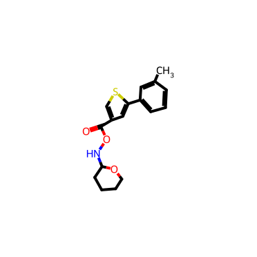 Cc1cccc(-c2cc(C(=O)ONC3CCCCO3)cs2)c1